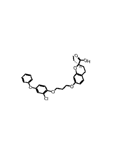 CC[C@]1(C(=O)O)CCc2ccc(OCCCOc3ccc(Oc4ccccc4)cc3Cl)cc2O1